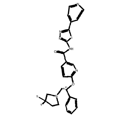 O=C(Nc1nnc(-c2ccncc2)s1)c1ccc(O[C@@H](CN2CCC(F)(F)C2)c2ccccc2)nc1